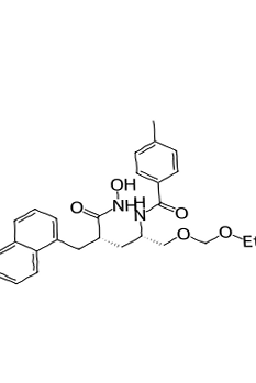 CCOCOC[C@H](C[C@H](Cc1cccc2ccccc12)C(=O)NO)NC(=O)c1ccc(C)cc1